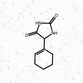 O=C1NC(=O)C(C2=CCCCC2)N1